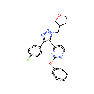 Fc1ccc(-c2nnn(CC3CCOC3)c2-c2ccnc(Oc3ccccc3)n2)cc1